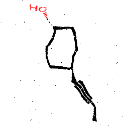 CC#C[C@H]1CC[C@H](O)CC1